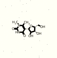 Cc1c([C@@H]2O[C@H](CO)[C@H](O)C2O)c(=O)[nH]c(=O)n1C